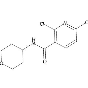 O=C(NC1CCOCC1)c1ccc(Cl)nc1Cl